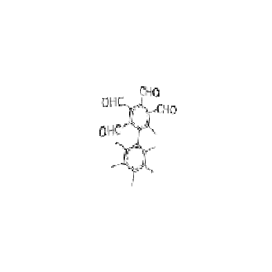 Cc1c(C)c(C)c(-c2c(C)c(C=O)c(C=O)c(C=O)c2C=O)c(C)c1C